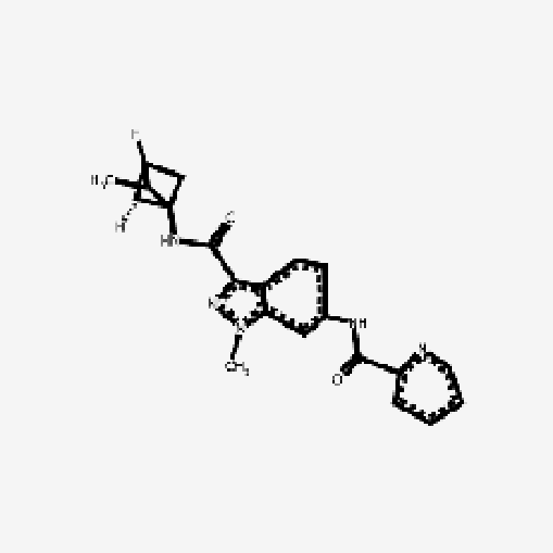 C[C@H]1C2(F)CC1(NC(=O)c1nn(C)c3cc(NC(=O)c4ccccn4)ccc13)C2